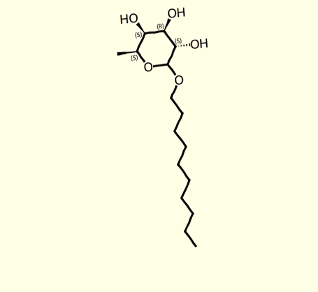 CCCCCCCCCCOC1O[C@@H](C)[C@@H](O)[C@@H](O)[C@@H]1O